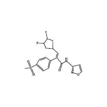 CS(=O)(=O)c1ccc(/C(=C\C2CC(F)C(F)C2)C(=O)Nc2ccon2)cc1